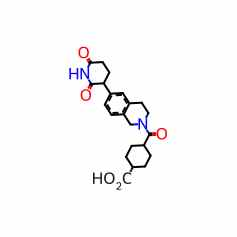 O=C1CCC(c2ccc3c(c2)CCN(C(=O)C2CCC(C(=O)O)CC2)C3)C(=O)N1